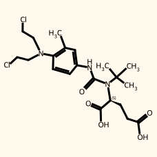 Cc1cc(NC(=O)N([C@@H](CCC(=O)O)C(=O)O)C(C)(C)C)ccc1N(CCCl)CCCl